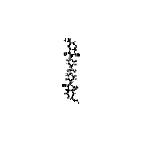 Nc1ccc2c(c1)C(=O)N(c1ccc(S(=O)(=O)c3ccc(N4C(=O)c5ccc(N)cc5C4=O)cc3)cc1)C2=O